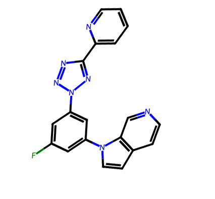 Fc1cc(-n2nnc(-c3ccccn3)n2)cc(-n2ccc3ccncc32)c1